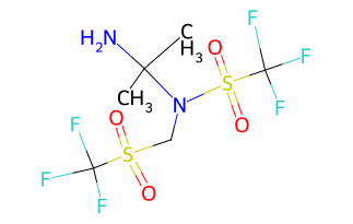 CC(C)(N)N(CS(=O)(=O)C(F)(F)F)S(=O)(=O)C(F)(F)F